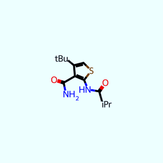 CC(C)C(=O)Nc1scc(C(C)(C)C)c1C(N)=O